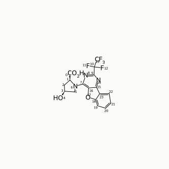 O=C(O)[C@@H]1C[C@H](O)CN1c1nc(C(F)(F)C(F)(F)F)nc2c1oc1ccccc12